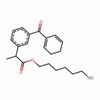 CC(C(=O)OCCCCCCN=O)c1cccc(C(=O)C2=CCCC=C2)c1